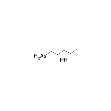 CCCCC[AsH2].[HH]